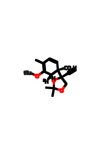 [2H]C1([2H])C(OC(C)(C)C)=C(C)C=C[C@]1(C(=O)O)[C@]1(C#C)COC(C)(C)O1